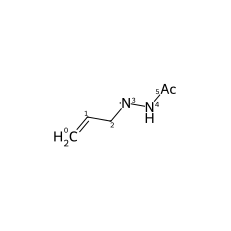 C=CC[N]NC(C)=O